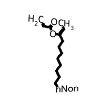 C=CC(=O)OC(=CC)CCCCCCCCCCCCCCCCC